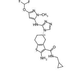 Cn1nc(OC(F)F)cc1Nc1nncn1[C@H]1CCc2sc(N)c(C(=O)NCC3CC3)c2C1